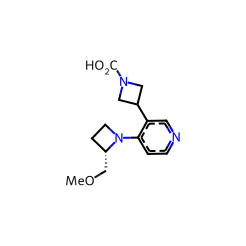 COC[C@@H]1CCN1c1ccncc1C1CN(C(=O)O)C1